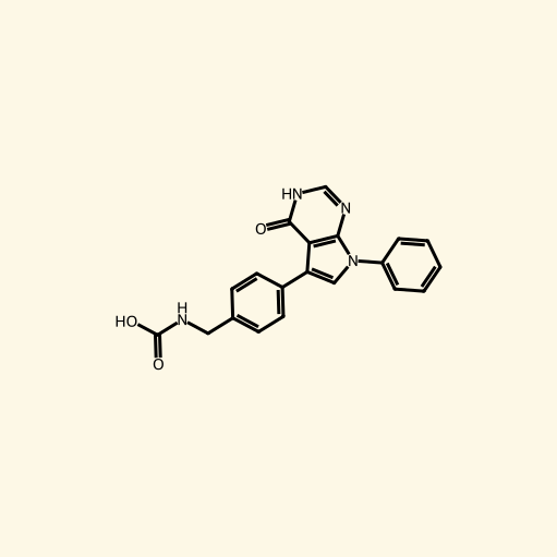 O=C(O)NCc1ccc(-c2cn(-c3ccccc3)c3nc[nH]c(=O)c23)cc1